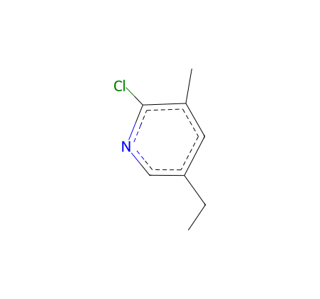 CCc1cnc(Cl)c(C)c1